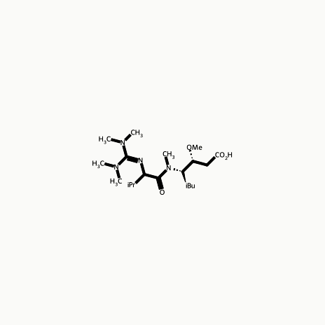 CC[C@H](C)[C@@H]([C@@H](CC(=O)O)OC)N(C)C(=O)C(N=C(N(C)C)N(C)C)C(C)C